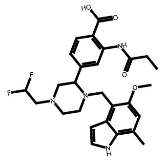 CCC(=O)Nc1cc(C2CN(CC(F)F)CCN2Cc2c(OC)cc(C)c3[nH]ccc23)ccc1C(=O)O